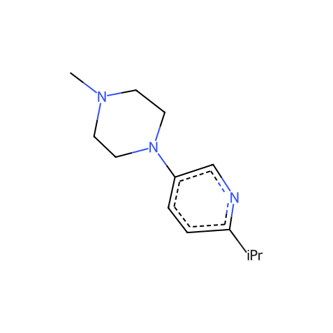 CC(C)c1ccc(N2CCN(C)CC2)cn1